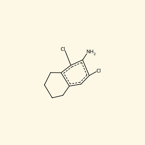 Nc1c(Cl)cc2c(c1Cl)CCCC2